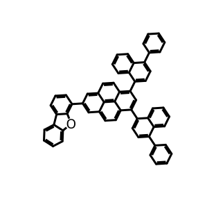 c1ccc(-c2ccc(-c3cc(-c4ccc(-c5ccccc5)c5ccccc45)c4ccc5cc(-c6cccc7c6oc6ccccc67)cc6ccc3c4c65)c3ccccc23)cc1